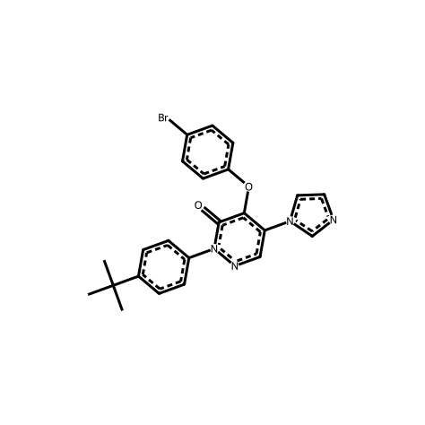 CC(C)(C)c1ccc(-n2ncc(-n3ccnc3)c(Oc3ccc(Br)cc3)c2=O)cc1